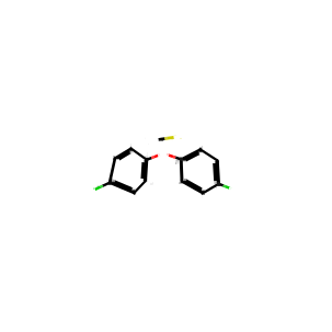 CS.Clc1ccc(Oc2ccc(Cl)cc2)cc1